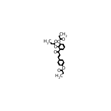 C=CC(=O)Oc1ccc(/C=C/C(=O)c2cccc(OC(=O)C=C)c2OC(=O)C=C)cc1